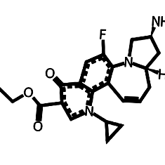 CCOC(=O)c1cn(C2CC2)c2c3c(c(F)cc2c1=O)N1C[C@@H](N)C[C@@H]1CC=C3